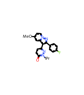 COc1ccn2nc(-c3ccc(F)cc3)c(-c3ccc(=O)n(C(C)C)n3)c2c1